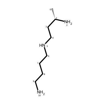 C[C@H](N)CCNCCCCN